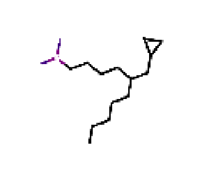 CCCCCC(CCCCP(I)I)CC1CC1